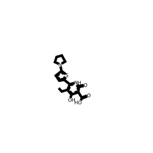 CCc1c(-c2ccc(N3CCCC3)s2)[nH]c(=O)c(C(=O)O)c1O